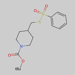 CC(C)(C)OC(=O)N1CCC(CSS(=O)(=O)c2ccccc2)CC1